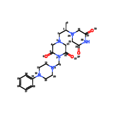 CC(CN1CC(=O)N(CN2CCN(c3ccccc3)CC2)C(=O)C1)N1CC(=O)NC(=O)C1